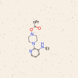 CCCC(=O)ON1CCN(c2ncccc2NCC)CC1